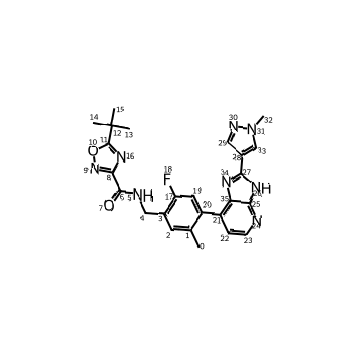 Cc1cc(CNC(=O)c2noc(C(C)(C)C)n2)c(F)cc1-c1ccnc2[nH]c(-c3cnn(C)c3)nc12